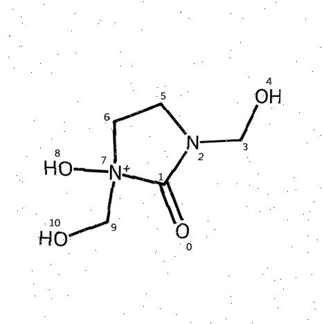 O=C1N(CO)CC[N+]1(O)CO